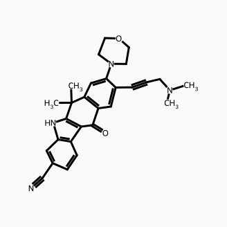 CN(C)CC#Cc1cc2c(cc1N1CCOCC1)C(C)(C)c1[nH]c3cc(C#N)ccc3c1C2=O